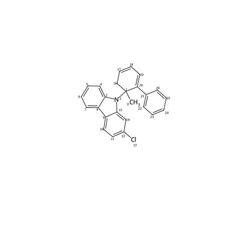 CC1(n2c3ccccc3c3ccc(Cl)cc32)CC=CC=C1c1ccccc1